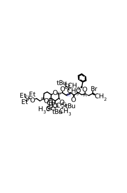 C=C(Br)C[C@@H](CCC(=O)/C=C/C(O[Si](C)(C)C(C)(C)C)[C@@H]1OC2CC[C@H](CCO[Si](CC)(CC)CC)O[C@@H]2C(O[Si](C)(C)C(C)(C)C)C1O[Si](C)(C)C(C)(C)C)OC(=O)c1ccccc1